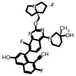 C#Cc1c(F)ccc2cc(O)cc(-c3ccc4c(N5CCC[C@@](C)(O)C5)nc(OC[C@@]56CCCN5C[C@H](F)C6)nc4c3F)c12